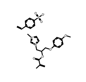 C=C(C)C(=O)OC(COc1ccc(OC)cc1)Cn1cc[n+](C)c1.C=Cc1ccc(S(=O)(=O)[O-])cc1